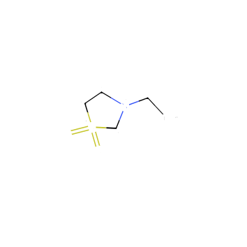 CCCCCCN1CCS(=S)(=S)C1